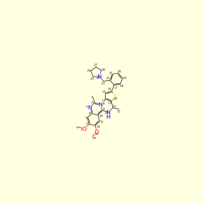 COc1cc2nc(C)nc(NC(C)c3ccc(-c4ccccc4CN4CCCC4)s3)c2cc1OC